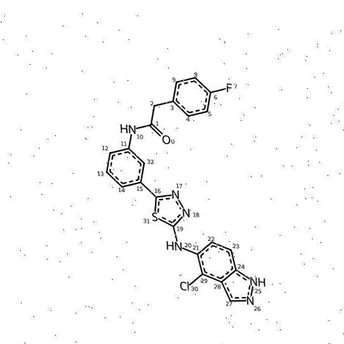 O=C(Cc1ccc(F)cc1)Nc1cccc(-c2nnc(Nc3ccc4[nH]ncc4c3Cl)s2)c1